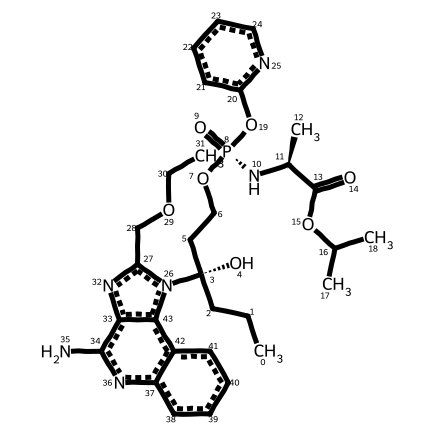 CCC[C@](O)(CCO[P@](=O)(N[C@@H](C)C(=O)OC(C)C)Oc1ccccn1)n1c(COCC)nc2c(N)nc3ccccc3c21